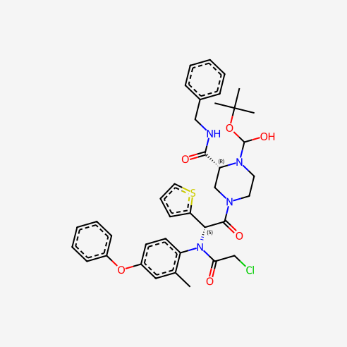 Cc1cc(Oc2ccccc2)ccc1N(C(=O)CCl)[C@@H](C(=O)N1CCN(C(O)OC(C)(C)C)[C@@H](C(=O)NCc2ccccc2)C1)c1cccs1